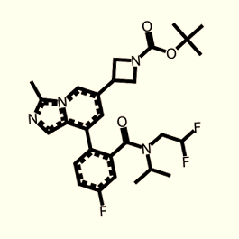 Cc1ncc2c(-c3ccc(F)cc3C(=O)N(CC(F)F)C(C)C)cc(C3CN(C(=O)OC(C)(C)C)C3)cn12